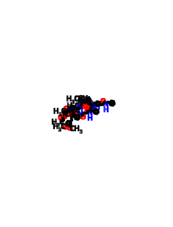 C=CC(=O)OCC(C)(C)C(=O)C(=O)N1CCCC[C@H]1C(=O)O[C@H](CCc1ccc(OC)c(OC)c1)c1cccc(NC(=O)CCC(=O)N[C@H](C(=O)N[C@@H](Cc2ccc(CC(=O)NCc3ccccc3)cc2)C(=O)N2CCC[C@@H]2C(=O)N(C)[C@@H](CC(C)C)C(=O)N(C)CC)c2ccccc2)c1